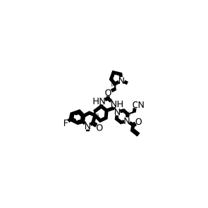 C=CC(=O)N1CCN(C2NC(OC[C@H]3CCCN3C)NC3C[C@]4(CCC32)Cc2ccc(F)cc2N(C)C4=O)C[C@H]1CC#N